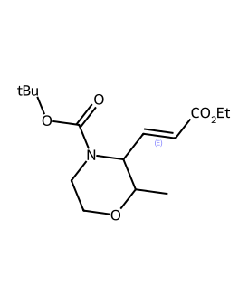 CCOC(=O)/C=C/C1C(C)OCCN1C(=O)OC(C)(C)C